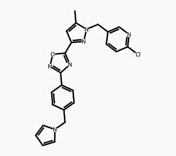 Cc1cc(-c2nc(-c3ccc(Cn4cccc4)cc3)no2)nn1Cc1ccc(Cl)nc1